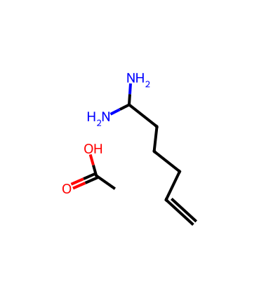 C=CCCCC(N)N.CC(=O)O